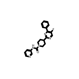 O=C(Nc1cccnc1)N1CCC(c2ncc(F)c(-c3ccccc3)n2)CC1